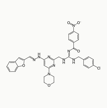 O=C(N=C(NCc1ccc(Cl)cc1)NCc1nc(NN=Cc2cc3ccccc3o2)cc(N2CCOCC2)n1)c1ccc([N+](=O)[O-])cc1